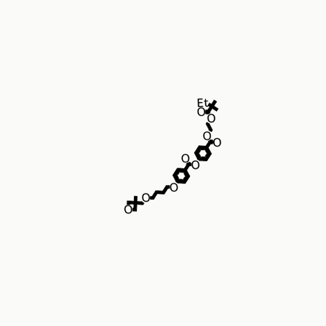 CCC(C)(C)C(=O)OCCOC(=O)c1ccc(OC(=O)c2ccc(OCCCCOCC3(C)COC3)cc2)cc1